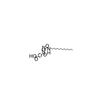 CCCCCCCCCCCCCCNC(=O)C1=CN(C(=O)c2ccc(C(=O)O)cc2)CCN1C